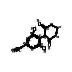 N#Cc1cc(Cl)c(C2C(=O)CCCC2=O)c(Cl)c1